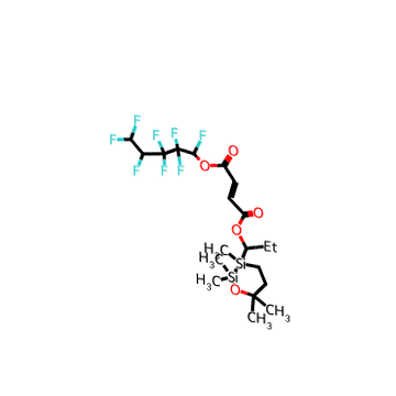 CCC(OC(=O)C=CC(=O)OC(F)C(F)(F)C(F)(F)C(F)C(F)F)[Si]1(C)CCC(C)(C)O[Si]1(C)C